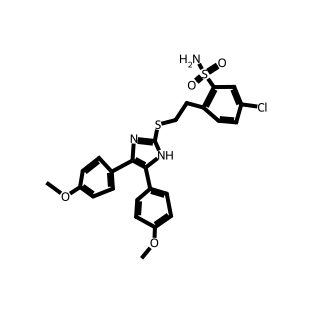 COc1ccc(-c2nc(SCCc3ccc(Cl)cc3S(N)(=O)=O)[nH]c2-c2ccc(OC)cc2)cc1